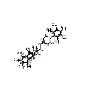 [2H]c1c([2H])c(Cl)c([2H])c(N2CCN(CCC([2H])([2H])n3nc4c([2H])c([2H])c([2H])c([2H])n4c3=O)CC2)c1[2H]